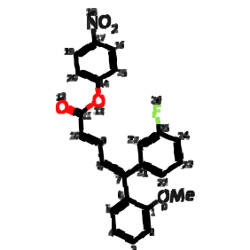 COc1ccccc1C(=CC=CC(=O)Oc1ccc([N+](=O)[O-])cc1)c1cccc(F)c1